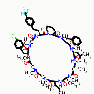 CC[C@H](C)[C@@H]1NC(=O)[C@H](C)N(C)C(=O)C[C@@H](C)NC(=O)[C@H](CC(C)C)N(C)C(=O)[C@H](Cc2ccccc2)N(C)C(=O)[C@@H]2CCCCN2C(=O)[C@H](CCc2ccc(C(F)(F)F)cc2)NC(=O)CN(C)C(=O)[C@H](Cc2ccc(Cl)cc2)N(C)C(=O)CN(C)C(=O)CN(C)C1=O